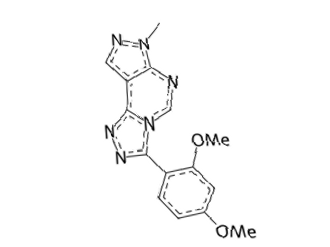 COc1ccc(-c2nnc3c4cnn(C)c4ncn23)c(OC)c1